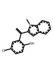 C=C(c1cc(Cl)ccc1O)c1cc2ccccc2n1C